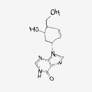 O=c1[nH]cnc2c1ncn2C1C=CC(CO)C(O)C1